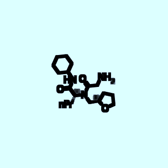 CCC[C@H](C(=O)NC1CCCCC1)N(C[C@H]1CCCO1)C(=O)CN